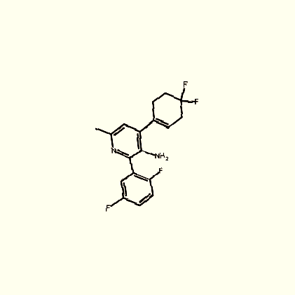 Cc1cc(C2=CCC(F)(F)CC2)c(N)c(-c2cc(F)ccc2F)n1